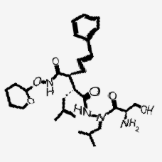 CC(C)C[C@@H](C(=O)NN(CC(C)C)C(=O)[C@H](N)CO)[C@H](CC=Cc1ccccc1)C(=O)NOC1CCCCO1